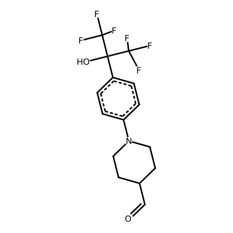 O=CC1CCN(c2ccc(C(O)(C(F)(F)F)C(F)(F)F)cc2)CC1